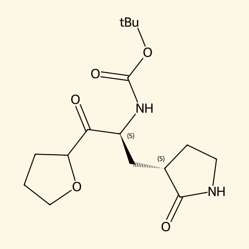 CC(C)(C)OC(=O)N[C@@H](C[C@@H]1CCNC1=O)C(=O)C1CCCO1